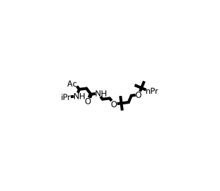 CCCC(C)(C)OCCC(C)(C)OCCNC(=O)CC(NC(C)C)C(C)=O